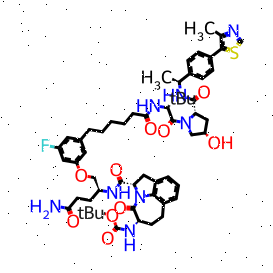 Cc1ncsc1-c1ccc([C@H](C)NC(=O)[C@@H]2C[C@@H](O)CN2C(=O)[C@@H](NC(=O)CCCCCc2cc(F)cc(OC[C@H](CCC(N)=O)NC(=O)[C@@H]3Cc4cccc5c4N3C(=O)[C@@H](NC(=O)OC(C)(C)C)CC5)c2)C(C)(C)C)cc1